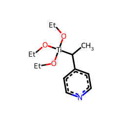 CC[O][Ti]([O]CC)([O]CC)[CH](C)c1ccncc1